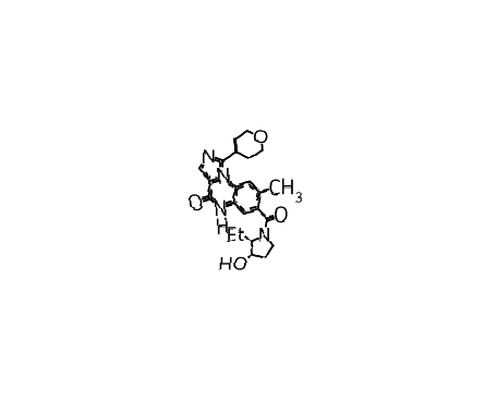 CC[C@@H]1[C@H](O)CCN1C(=O)c1cc2[nH]c(=O)c3cnc(C4CCOCC4)n3c2cc1C